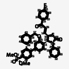 COP(=O)(OC)c1ccc(-c2ccc([C@@H]3[C@@H](/C=C/C(=O)c4ccc(F)cc4)SC(=O)N3c3ccccc3)c(OCc3ccccc3)c2)cc1